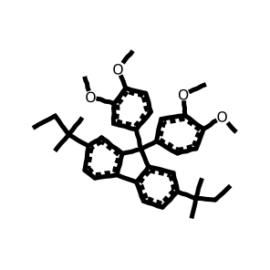 CCC(C)(C)c1ccc2c(c1)C(c1ccc(OC)c(OC)c1)(c1ccc(OC)c(OC)c1)c1cc(C(C)(C)CC)ccc1-2